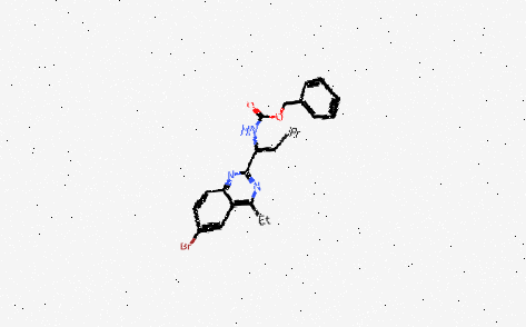 CCc1nc(C(CC(C)C)NC(=O)OCc2ccccc2)nc2ccc(Br)cc12